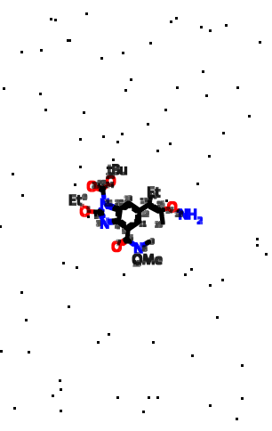 CCOc1nc2c(C(=O)N(C)OC)cc(/C(CC)=C(\C)ON)cc2n1C(=O)OC(C)(C)C